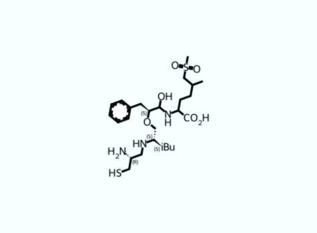 CC[C@H](C)[C@@H](CO[C@@H](Cc1ccccc1)C(O)NC(CCC(C)CS(C)(=O)=O)C(=O)O)NC[C@@H](N)CS